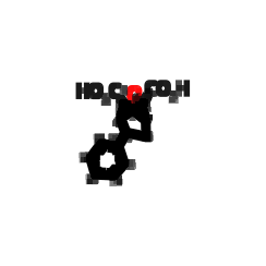 O=C(O)C1=C(C(=O)O)C2C(=O)C1CC2c1ccccc1